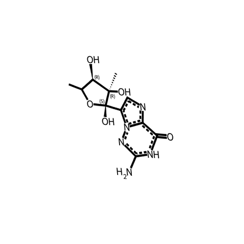 CC1O[C@@](O)(c2cnc3c(=O)[nH]c(N)nn23)[C@](C)(O)[C@@H]1O